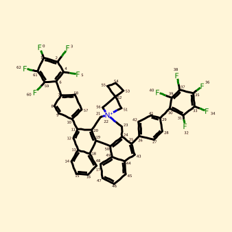 Fc1c(F)c(F)c(-c2ccc(-c3cc4ccccc4c4c3C[N+]3(Cc5c(-c6ccc(-c7c(F)c(F)c(F)c(F)c7F)cc6)cc6ccccc6c5-4)CC4(CCC4)C3)cc2)c(F)c1F